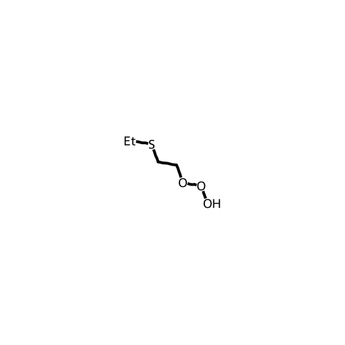 CCSCCOOO